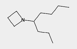 CCCCC(CCC)N1CCC1